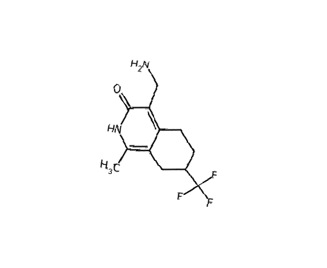 Cc1[nH]c(=O)c(CN)c2c1CC(C(F)(F)F)CC2